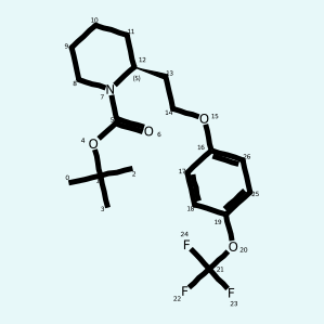 CC(C)(C)OC(=O)N1CCCC[C@H]1CCOc1ccc(OC(F)(F)F)cc1